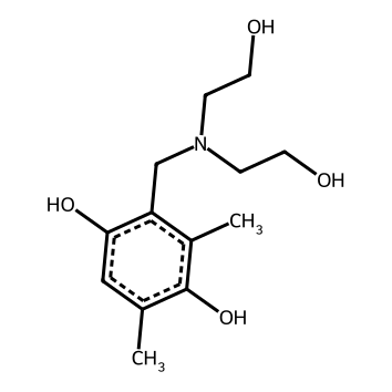 Cc1cc(O)c(CN(CCO)CCO)c(C)c1O